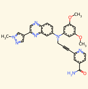 COc1cc(OC)cc(N(CC#Cc2cc(C(N)=O)ccn2)c2ccc3ncc(-c4cnn(C)c4)nc3c2)c1